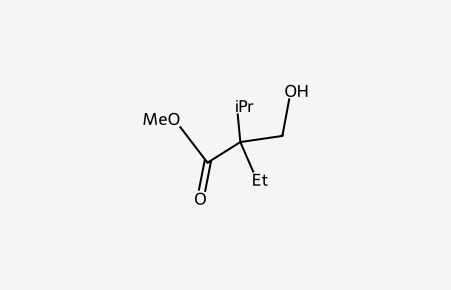 CCC(CO)(C(=O)OC)C(C)C